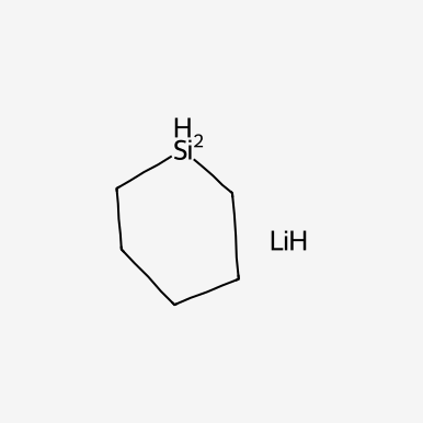 C1CC[SiH2]CC1.[LiH]